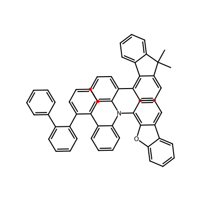 CC1(C)c2ccccc2-c2c(-c3ccccc3N(c3ccccc3-c3ccccc3-c3ccccc3-c3ccccc3)c3cccc4c3oc3ccccc34)cccc21